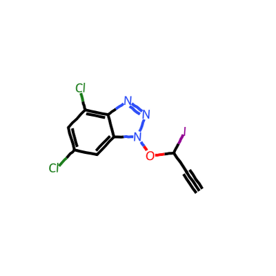 C#CC(I)On1nnc2c(Cl)cc(Cl)cc21